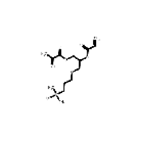 C=CC(=O)OC(COCCC[Si](C)(C)C)COC(=O)C(=C)C